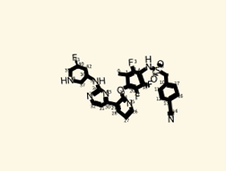 Cc1c(F)c(NS(=O)(=O)Cc2ccc(C#N)cc2)c(F)c(F)c1Oc1ncccc1-c1ccnc(NC2CNC[C@@H](F)C2)n1